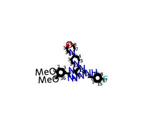 COc1ccc(-c2nnc3nc(NCc4ccc(F)cc4)nc(N4CCC(N5CCOCC5)CC4)c3n2)cc1OC